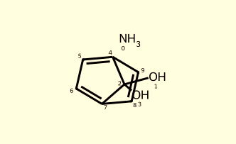 N.OC1(O)C2=CC=C1C=C2